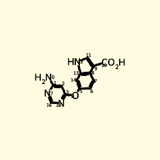 Nc1cc(Oc2ccc3c(C(=O)O)c[nH]c3c2)ncn1